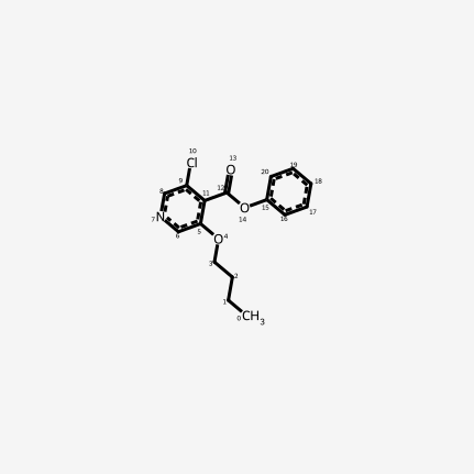 CCCCOc1cncc(Cl)c1C(=O)Oc1ccccc1